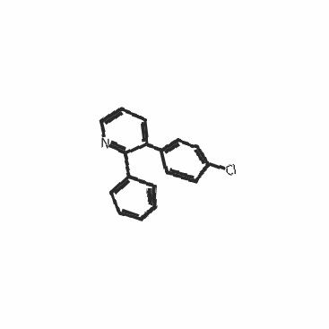 Clc1ccc(-c2cccnc2-c2ccccc2)cc1